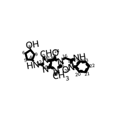 Cn1c(NC2CC[C@@H](O)C2)nc2c1c(=O)n(Cc1nc3ccccc3[nH]1)c(=O)n2C